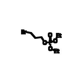 CCOP(=O)(OCC)OCCCBr